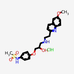 COc1ccc2nc(CCNCC(O)COc3ccc(NS(C)(=O)=O)cc3)ccc2c1.Cl